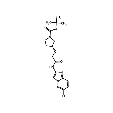 CC(C)(C)OC(=O)N1CC[C@H](OCC(=O)Nc2cn3nc(Cl)ccc3n2)C1